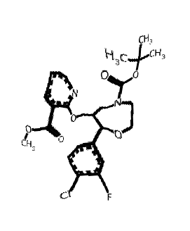 COC(=O)c1cccnc1OC1CN(C(=O)OC(C)(C)C)CCOC1c1ccc(Cl)c(F)c1